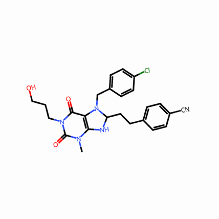 Cn1c2c(c(=O)n(CCCO)c1=O)N(Cc1ccc(Cl)cc1)C(CCc1ccc(C#N)cc1)N2